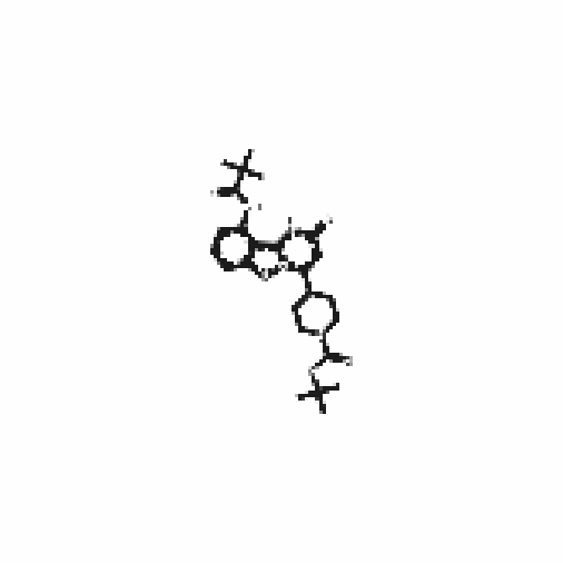 CC(C)(C)OC(=O)N1CCC(c2cc(=O)[nH]c3c4c(NC(=O)C(C)(C)C)cccc4nn23)CC1